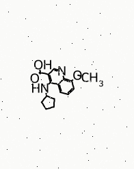 COc1cccc2c(NC3CCCC3)c(C(=O)O)cnc12